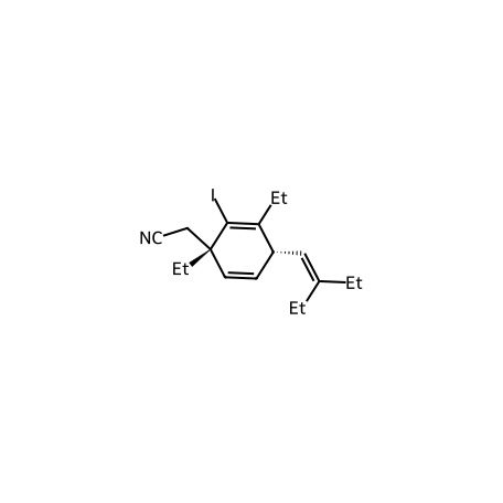 CCC(=C[C@@H]1C=C[C@](CC)(CC#N)C(I)=C1CC)CC